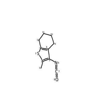 Cc1sc2c(c1N=C=O)CCCC2